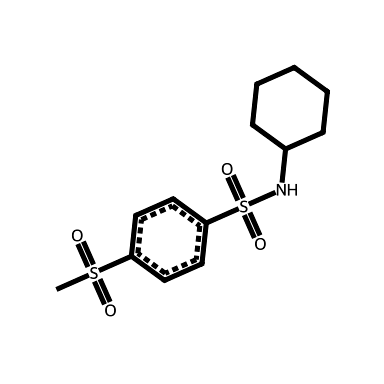 CS(=O)(=O)c1ccc(S(=O)(=O)NC2CCCCC2)cc1